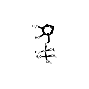 Cc1cccc(CO[Si](C)(C)C(C)(C)C)c1O